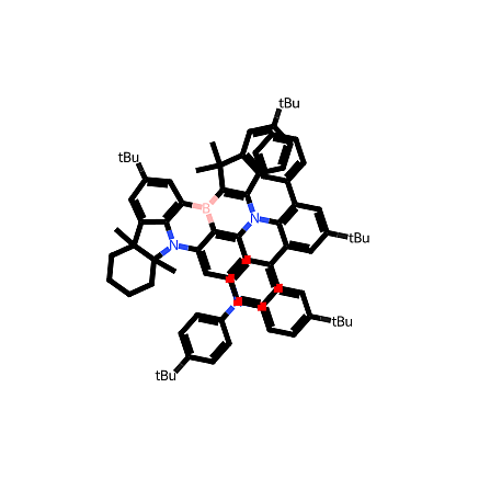 CC(C)(C)c1ccc(N(c2ccc(C(C)(C)C)cc2)c2cc3c4c(c2)N2c5c(cc(C(C)(C)C)cc5C5(C)CCCCC25C)B4C2=C(c4ccc(C(C)(C)C)cc4C2(C)C)N3c2c(-c3ccccc3)cc(C(C)(C)C)cc2-c2ccccc2)cc1